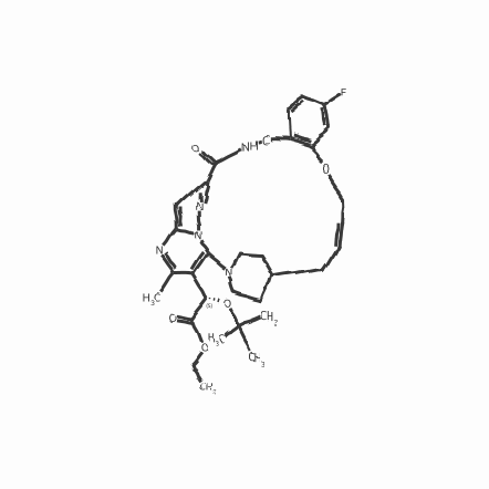 CCOC(=O)[C@@H](OC(C)(C)C)c1c(C)nc2cc3nn2c1N1CCC(CC=CCOc2cc(F)ccc2CNC3=O)CC1